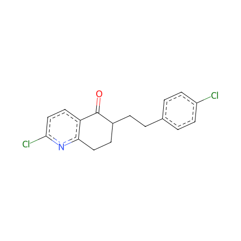 O=C1c2ccc(Cl)nc2CCC1CCc1ccc(Cl)cc1